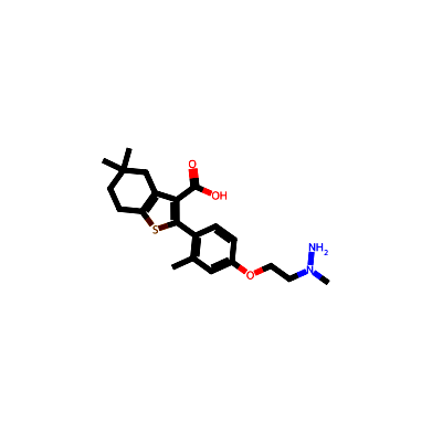 Cc1cc(OCCN(C)N)ccc1-c1sc2c(c1C(=O)O)CC(C)(C)CC2